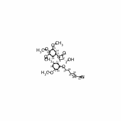 COc1ccc([C@H]2[C@@H](CO)C(=O)N2c2cc(OC)c(OC)c(OC)c2)c(OCCCC[Se]C#N)c1